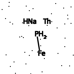 [NaH].[PH2][Fe].[Th]